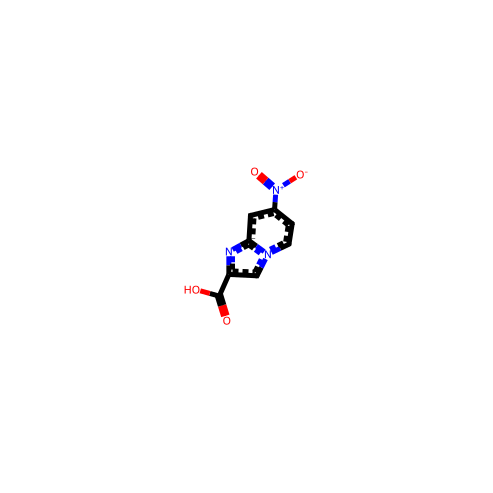 O=C(O)c1cn2ccc([N+](=O)[O-])cc2n1